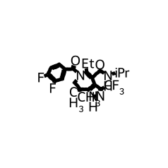 CCC1=C(C(=O)NC(C)C)c2c(C(F)(F)F)n[nH]c2C(C)(C)CN1C(=O)c1ccc(F)c(F)c1